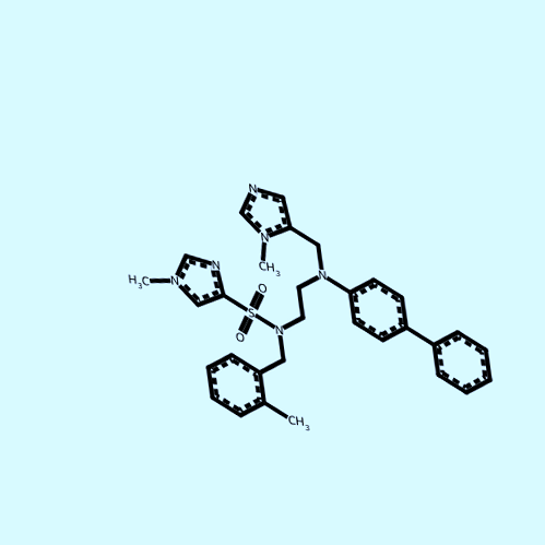 Cc1ccccc1CN(CCN(Cc1cncn1C)c1ccc(-c2ccccc2)cc1)S(=O)(=O)c1cn(C)cn1